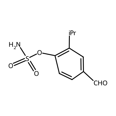 CC(C)c1cc(C=O)ccc1OS(N)(=O)=O